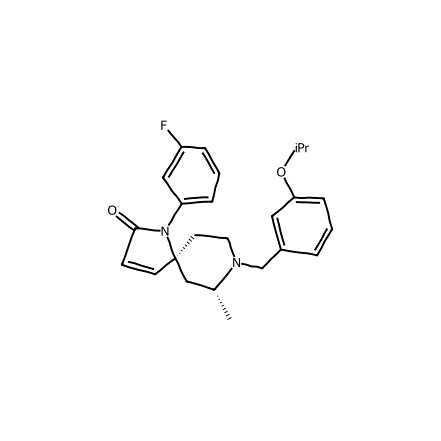 CC(C)Oc1cccc(CN2CC[C@@]3(C=CC(=O)N3c3cccc(F)c3)C[C@H]2C)c1